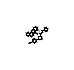 N#Cc1ccc(-c2cccc(C(=C/C(N)c3ccccc3)/N=C/c3c4ccccc4cc4c3ccc3ccccc34)c2)cc1